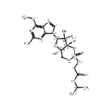 COc1nc(N)nc2c1ncn2[C@@H]1O[C@@H]2CO[P@](=O)(OCC(=O)OC(C)C)O[C@H]2[C@@]1(C)O